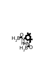 BC(=O)NCC1(C)CC(NC(B)=O)CC(C)(C)C1